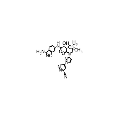 CC1(C)CN(c2ccn(-c3cnnc(C#N)c3)n2)C(=O)[C@@H]([C@@H](O)C(=O)Nc2ccc3c(N)noc3c2)O1